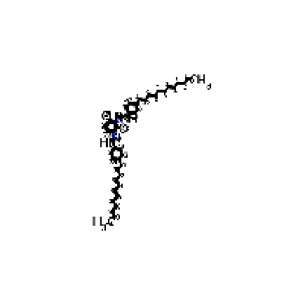 CCCCCCCCCCCCc1ccc(N/N=c2/c(=O)cc/c(=N\Nc3ccc(CCCCCCCCCCCC)cc3)c2=O)cc1